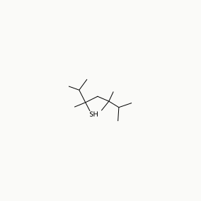 CC(C)C(C)(C)CC(C)(S)C(C)C